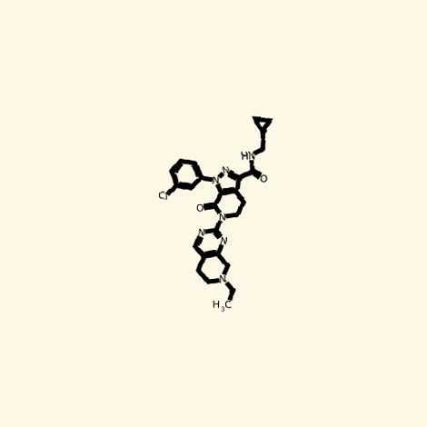 CCN1CCc2cnc(N3CCc4c(C(=O)NCC5CC5)nn(-c5cccc(Cl)c5)c4C3=O)nc2C1